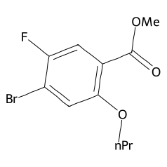 CCCOc1cc(Br)c(F)cc1C(=O)OC